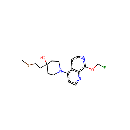 CSCCC1(O)CCN(c2ccnc3c(OCF)nccc23)CC1